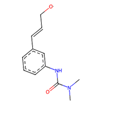 CN(C)C(=O)Nc1cccc(C=CC[O])c1